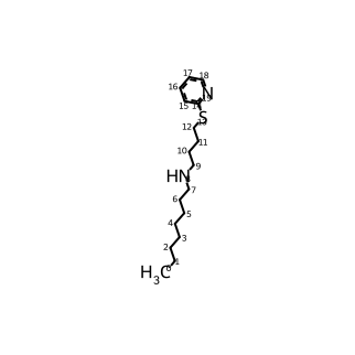 CCCCCCCCNCCCCSc1ccccn1